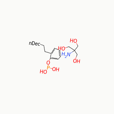 CCCCCCCCCCCCc1ccccc1OP(O)O.NC(CO)(CO)CO